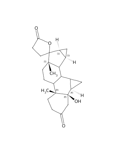 C[C@]12CCC3C(C4C[C@H]4[C@]4(O)CC(=O)CC[C@]34C)C1[C@@H]1C[C@@H]1C21CCC(=O)O1